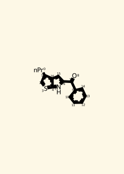 CCCc1csc2[nH]c(C(=O)c3ccccc3)cc12